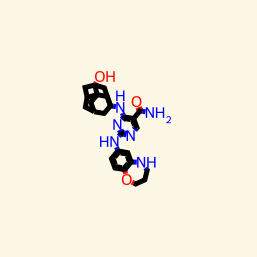 NC(=O)c1cnc(Nc2ccc3c(c2)NCCCO3)nc1NC12CC3CC4CC(O)(C1)C4(C3)C2